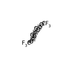 O=C(Oc1ccc(OCC(F)(F)F)cc1)c1ccc(C(=O)Oc2ccc(OCC(F)(F)F)cc2)cc1